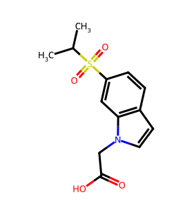 CC(C)S(=O)(=O)c1ccc2ccn(CC(=O)O)c2c1